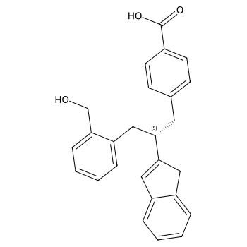 O=C(O)c1ccc(C[C@@H](Cc2ccccc2CO)C2=Cc3ccccc3C2)cc1